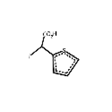 O=C(O)C(I)c1cccs1